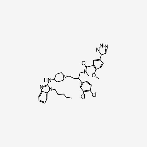 CCCCCn1c(NC2CCN(CCC(CN(C)C(=O)c3cc(C4C=NN=N4)ccc3OC)c3ccc(Cl)c(Cl)c3)CC2)nc2ccccc21